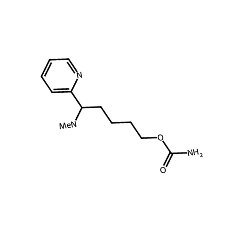 CNC(CCCCOC(N)=O)c1ccccn1